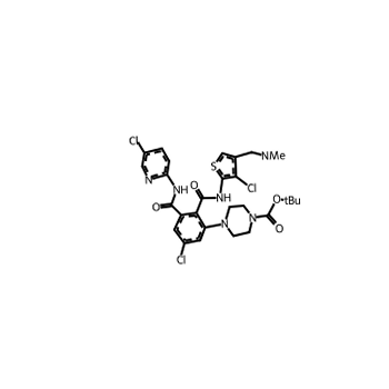 CNCc1csc(NC(=O)c2c(C(=O)Nc3ccc(Cl)cn3)cc(Cl)cc2N2CCN(C(=O)OC(C)(C)C)CC2)c1Cl